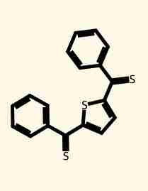 S=C(c1ccccc1)c1ccc(C(=S)c2ccccc2)s1